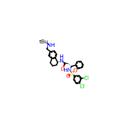 CC(C)(C)NCc1ccc2c(c1)CCC[C@H]2NC(=O)C[C@@H](NS(=O)(=O)c1ccc(Cl)c(Cl)c1)c1ccccc1